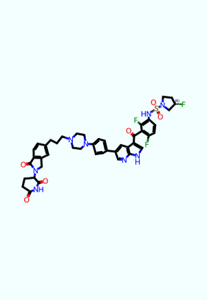 O=C1CCC(N2Cc3cc(CCCN4CCN(c5ccc(-c6cnc7[nH]cc(C(=O)c8c(F)ccc(NS(=O)(=O)N9CC[C@@H](F)C9)c8F)c7c6)cc5)CC4)ccc3C2=O)C(=O)N1